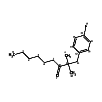 CCCCCCC(=O)C(C)(C)Cc1ccc(F)cc1